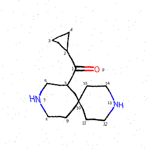 O=C(C1CC1)C1CNCCC12CCNCC2